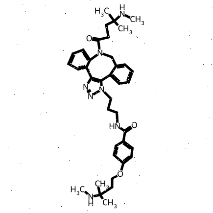 CNC(C)(C)CCOc1ccc(C(=O)NCCCn2nnc3c2-c2ccccc2CN(C(=O)CCC(C)(C)NC)c2ccccc2-3)cc1